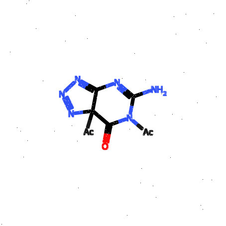 CC(=O)N1C(=O)C2(C(C)=O)N=NN=C2N=C1N